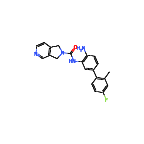 Cc1cc(F)ccc1-c1ccc(N)c(NC(=O)N2Cc3ccncc3C2)c1